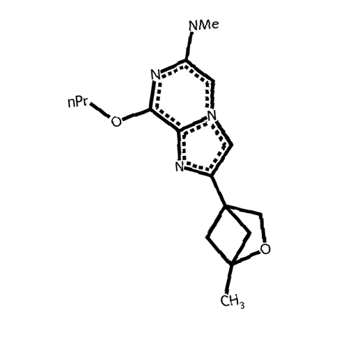 CCCOc1nc(NC)cn2cc(C34COC(C)(C3)C4)nc12